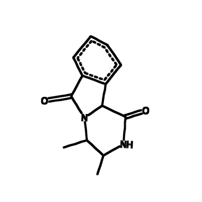 CC1NC(=O)C2c3ccccc3C(=O)N2C1C